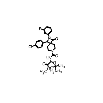 COC(=O)[C@H](NC(=O)N1CCC2(CC1)C(=O)N(c1cccc(F)c1)C2c1ccc(Cl)cc1)OC(C)(C)C